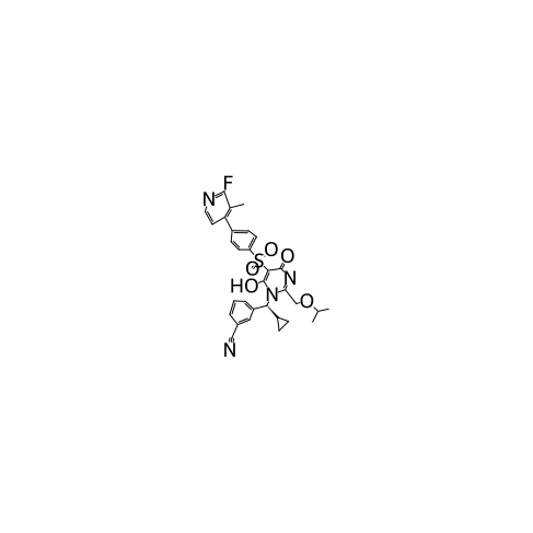 Cc1c(-c2ccc(S(=O)(=O)c3c(O)n([C@H](c4cccc(C#N)c4)C4CC4)c(COC(C)C)nc3=O)cc2)ccnc1F